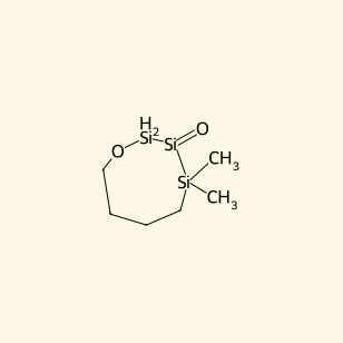 C[Si]1(C)CCCCO[SiH2][Si]1=O